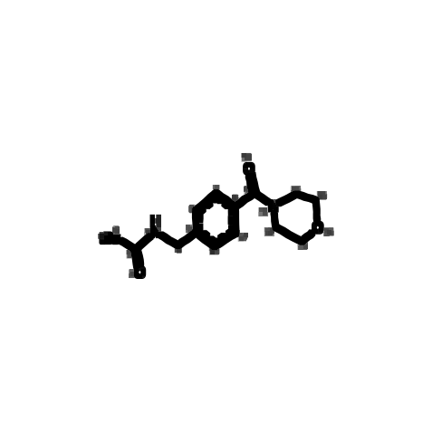 CC(C)(C)C(=O)NCc1ccc(C(=O)N2CCOCC2)cc1